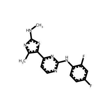 CNc1nc(C)c(-c2ccnc(Nc3ccc(F)cc3F)n2)s1